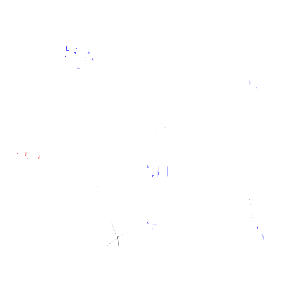 Cc1nc(C)c(-c2cccnc2)c2c1CC(N)c1c-2[nH]c(CC2(N)CC2)c1C(=O)O